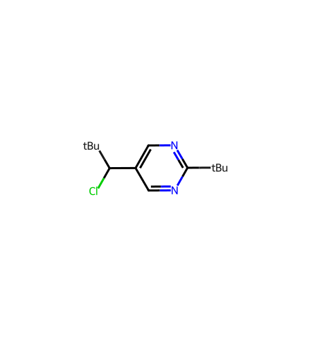 CC(C)(C)c1ncc(C(Cl)C(C)(C)C)cn1